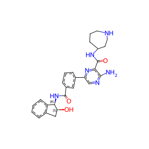 Nc1ncc(-c2cccc(C(=O)N[C@@H]3c4ccccc4C[C@@H]3O)c2)nc1C(=O)NC1CCCNCC1